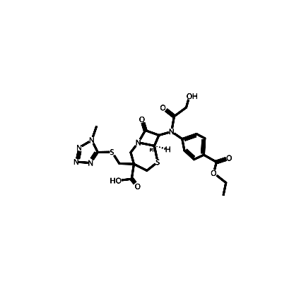 CCOC(=O)c1ccc(N(C(=O)CO)C2C(=O)N3CC(CSc4nnnn4C)(C(=O)O)CS[C@H]23)cc1